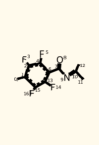 [CH2]c1c(F)c(F)c(C(=O)N=C(C)C)c(F)c1F